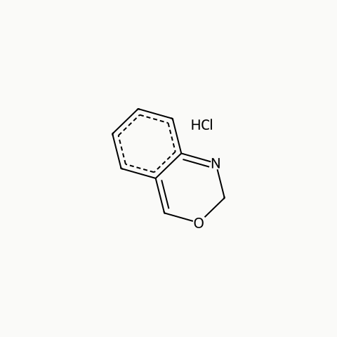 C1=c2ccccc2=NCO1.Cl